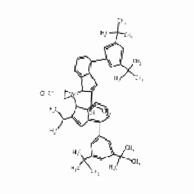 CC(C)C1=Cc2c(-c3cc(C(C)(C)C)cc(C(C)(C)C)c3)cccc2[CH]1[Zr+2]1([CH]2C(C(C)C)=Cc3c(-c4cc(C(C)(C)C)cc(C(C)(C)C)c4)cccc32)[CH2][CH2]1.[Cl-].[Cl-]